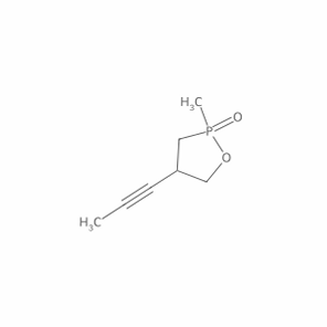 CC#CC1COP(C)(=O)C1